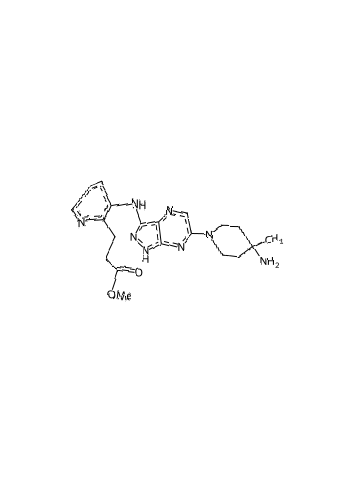 COC(=O)CCc1ncccc1Nc1n[nH]c2nc(N3CCC(C)(N)CC3)cnc12